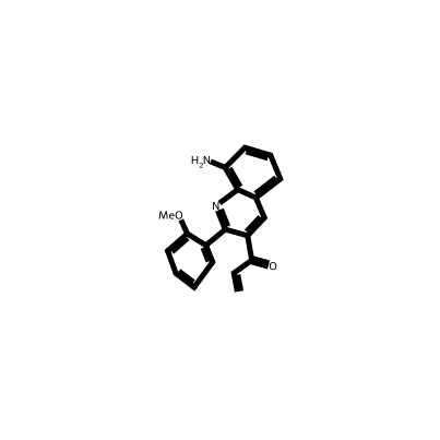 C=CC(=O)c1cc2cccc(N)c2nc1-c1ccccc1OC